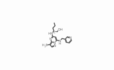 Bc1cnn2c(NCc3cccnc3)cc(N[C@H](CO)CCC)nc12